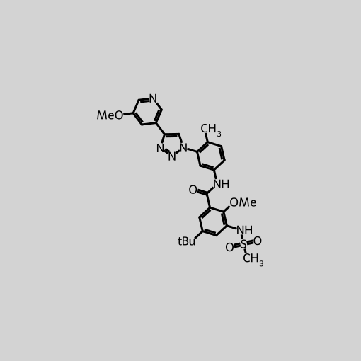 COc1cncc(-c2cn(-c3cc(NC(=O)c4cc(C(C)(C)C)cc(NS(C)(=O)=O)c4OC)ccc3C)nn2)c1